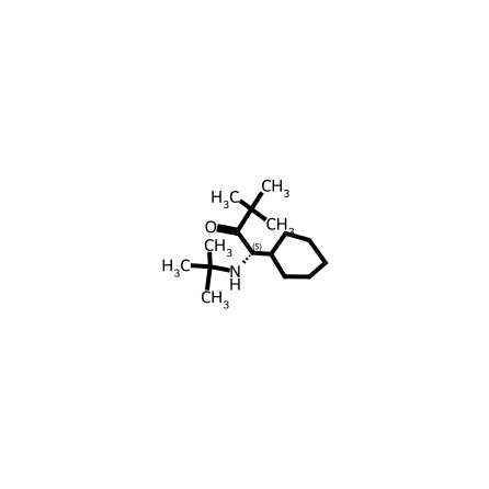 CC(C)(C)N[C@H](C(=O)C(C)(C)C)C1CCCCC1